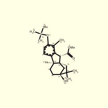 COC(=O)[C@H]1c2c(ccc(O[Si](C)(C)C(C)(C)C)c2C)[C@@H]2CC[C@]3(O)C[C@@]21CC3(C)C